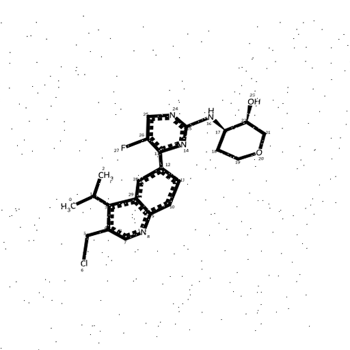 CC(C)c1c(CCl)cnc2ccc(-c3nc(N[C@@H]4CCOC[C@@H]4O)ncc3F)cc12